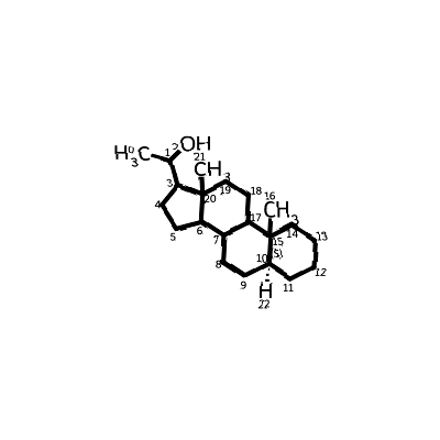 CC(O)C1CCC2C3CC[C@@H]4CCCCC4(C)C3CCC12C